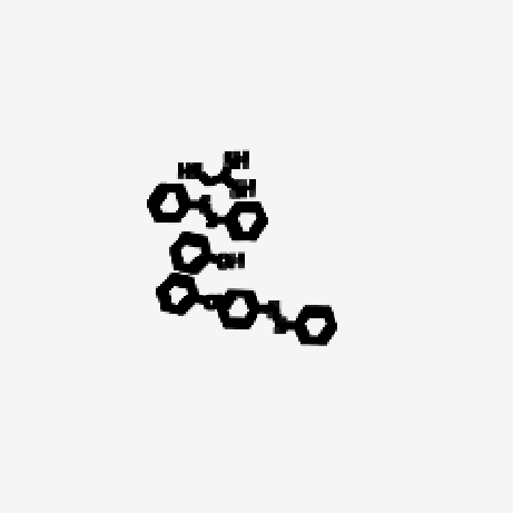 Oc1ccccc1.Oc1ccccc1.SCC(S)S.c1ccc(SSc2ccccc2)cc1.c1ccc(SSc2ccccc2)cc1